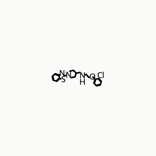 Clc1ccccc1OCCNCC1CCN(c2nc3ccccc3s2)CC1